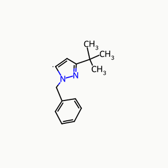 CC(C)(C)c1c[c]n(Cc2ccccc2)n1